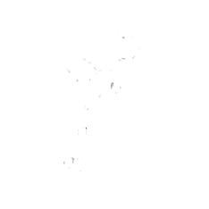 O=C(c1ccccc1)c1ccccc1CCCOCC1CO1